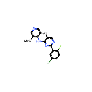 COc1cnccc1Nc1nc(-c2cc(Cl)ccc2F)ncc1OC